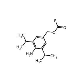 CC(C)c1cc(COC(=O)F)cc(C(C)C)c1N